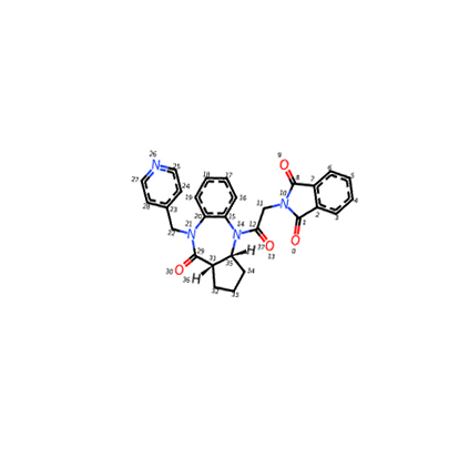 O=C1c2ccccc2C(=O)N1CC(=O)N1c2ccccc2N(Cc2ccncc2)C(=O)[C@H]2CCC[C@H]21